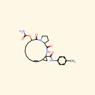 Cc1ccc(NC(=O)C23CC2/C=C\CCCCCC(OC(N)=O)C(=O)N2CCCC2C(=O)N3)cc1